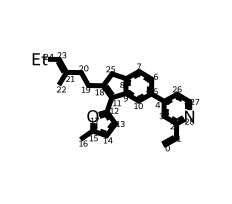 C=Cc1cc(-c2ccc3c(c2)C(c2ccc(C)o2)=C(CC/C(C)=C/CC)C3)ccn1